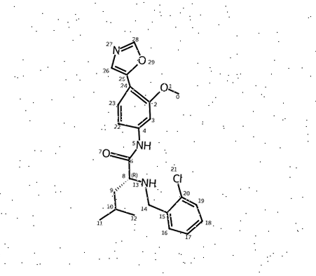 COc1cc(NC(=O)[C@@H](CC(C)C)NCc2ccccc2Cl)ccc1-c1cnco1